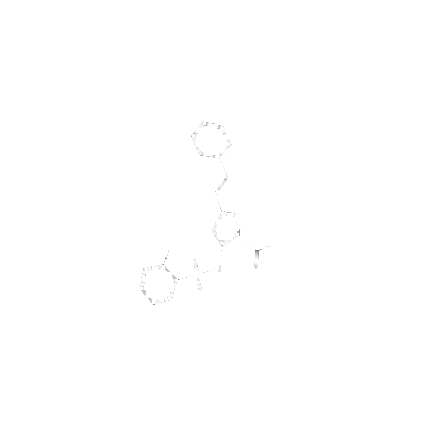 Cc1ccccc1S(=O)(=O)Nc1cc(C=Cc2ccccc2)sc1C(=O)O